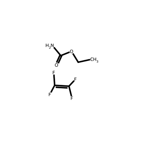 CCOC(N)=O.FC(F)=C(F)F